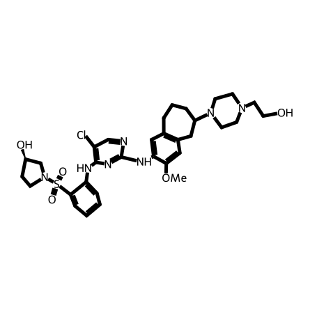 COc1cc2c(cc1Nc1ncc(Cl)c(Nc3ccccc3S(=O)(=O)N3CC[C@@H](O)C3)n1)CCCC(N1CCN(CCO)CC1)C2